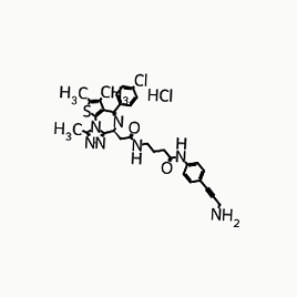 Cc1sc2c(c1C)C(c1ccc(Cl)cc1)=N[C@@H](CC(=O)NCCCC(=O)Nc1ccc(C#CCN)cc1)c1nnc(C)n1-2.Cl